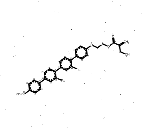 C=C(CO)C(=O)OCCOc1ccc(-c2ccc(-c3ccc(-c4ccc(CCCCC)cc4)cc3F)cc2F)cc1